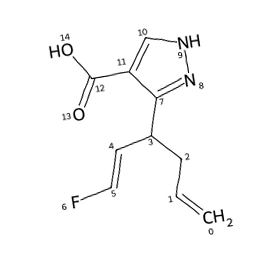 C=CCC(C=CF)c1n[nH]cc1C(=O)O